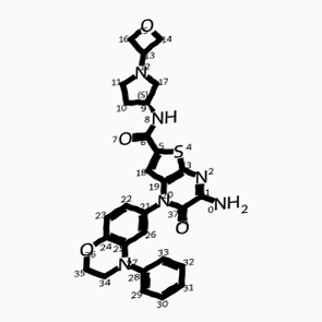 Nc1nc2sc(C(=O)N[C@H]3CCN(C4COC4)C3)cc2n(-c2ccc3c(c2)N(c2ccccc2)CCO3)c1=O